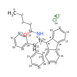 CCCCC(=O)[NH][Ti+2]([CH]1c2ccccc2-c2ccccc21)[SiH](c1ccccc1)c1ccccc1.[Cl-].[Cl-]